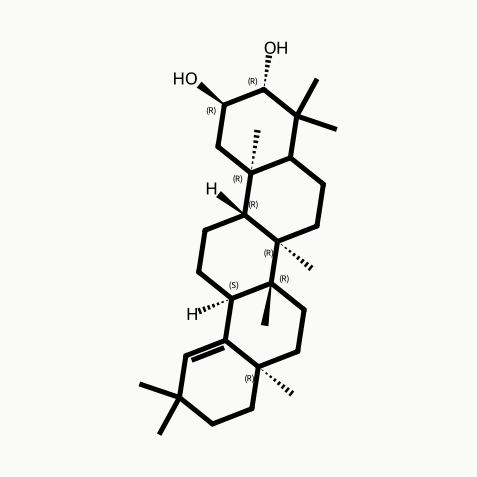 CC1(C)C=C2[C@H]3CC[C@@H]4[C@@]5(C)C[C@@H](O)[C@H](O)C(C)(C)C5CC[C@@]4(C)[C@]3(C)CC[C@@]2(C)CC1